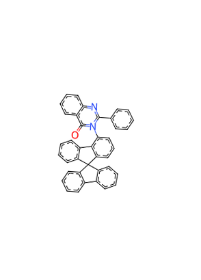 O=c1c2ccccc2nc(-c2ccccc2)n1-c1cccc2c1-c1ccccc1C21c2ccccc2-c2ccccc21